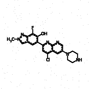 Cn1cc2cc(-c3cc(Cl)c4cc(N5CCNCC5)cnc4n3)c(O)c(F)c2n1